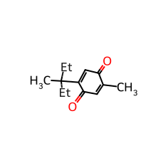 CCC(C)(CC)C1=CC(=O)C(C)=CC1=O